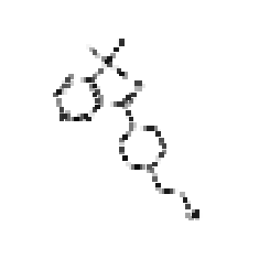 O=C(c1cnccc1C(F)(F)F)N1CCN(CCO)CC1